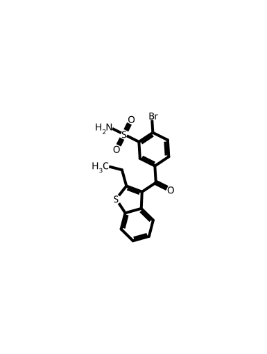 CCc1sc2ccccc2c1C(=O)c1ccc(Br)c(S(N)(=O)=O)c1